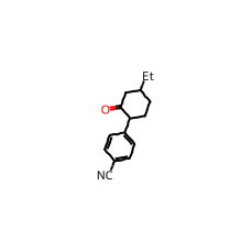 CCC1CCC(c2ccc(C#N)cc2)C(=O)C1